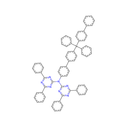 c1ccc(-c2ccc([Si](c3ccccc3)(c3ccccc3)c3ccc(-c4ccc(N(c5nc(-c6ccccc6)nc(-c6ccccc6)n5)c5nc(-c6ccccc6)nc(-c6ccccc6)n5)cc4)cc3)cc2)cc1